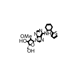 COC1C(O)[C@@H](CO)O[C@H]1n1cnc2c(NC3CC=CCC3c3cccs3)ncnc21